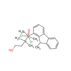 CC1c2ccccc2-c2ccc[c]([Ti]([CH3])(=[O])([SiH3])([Cl])([Cl])[Si](C)(C)CCO)c21